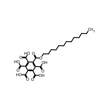 CCCCCCCCCCCCCOC(=O)c1c(C(=O)O)c(C(=O)O)c(C(=O)O)c(C(=O)O)c1C(=O)O